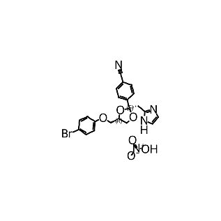 N#Cc1ccc([C@@]2(Cc3ncc[nH]3)OC[C@@H](COc3ccc(Br)cc3)O2)cc1.O=[N+]([O-])O